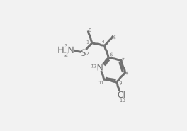 CC(SN)C(C)c1ccc(Cl)cn1